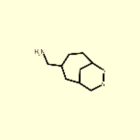 NCC1CCC2CC(CSS2)C1